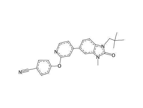 Cn1c(=O)n(CC(C)(C)C)c2ccc(-c3ccnc(Oc4ccc(C#N)cc4)c3)cc21